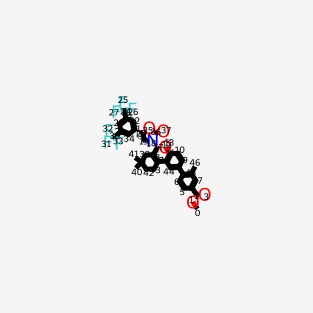 COC(=O)c1ccc(-c2ccc(OC)c(C3=C(CN4C[C@H](c5cc(C(F)(F)F)cc(C(F)(F)F)c5)OC4=O)CC(C)(C)CC3)c2)c(C)c1